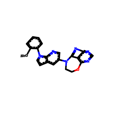 COc1ccccc1-n1ccc2cc(N3CCOc4ncnc5c4C3=N5)cnc21